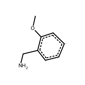 COc1c[c]ccc1CN